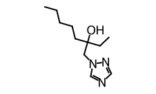 CCCCCC(O)(CC)Cn1cncn1